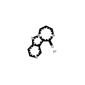 O=c1ncccn2nc3ccncc3c12.[H+]